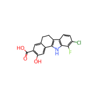 O=C(O)c1cc2c(cc1O)-c1[nH]c3c(F)c(Cl)ccc3c1CC2